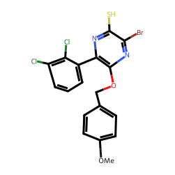 COc1ccc(COc2nc(Br)c(S)nc2-c2cccc(Cl)c2Cl)cc1